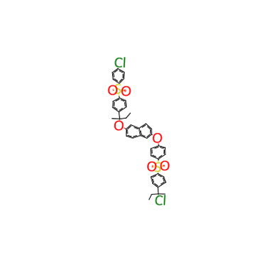 CCC(C)(Cl)c1ccc(S(=O)(=O)c2ccc(Oc3ccc4cc(OC(C)(CC)c5ccc(S(=O)(=O)c6ccc(Cl)cc6)cc5)ccc4c3)cc2)cc1